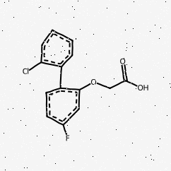 O=C(O)COc1cc(F)ccc1-c1ccccc1Cl